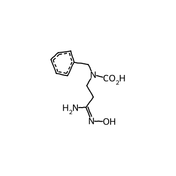 N/C(CCN(Cc1ccccc1)C(=O)O)=N/O